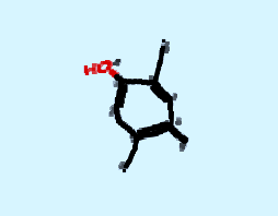 [CH2]c1cc(O)c([CH2])cc1C